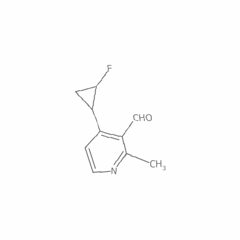 Cc1nccc(C2CC2F)c1C=O